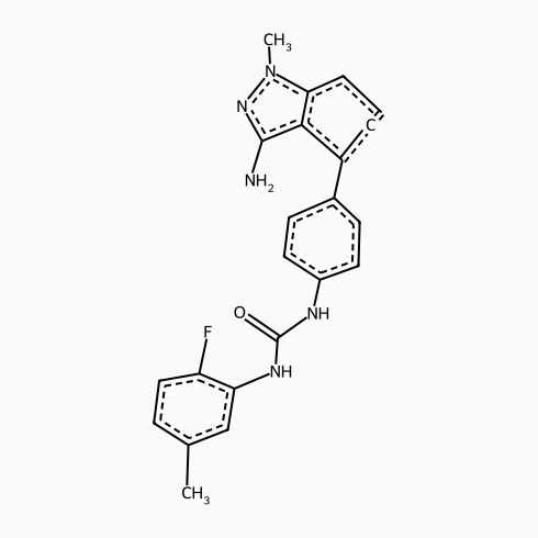 Cc1ccc(F)c(NC(=O)Nc2ccc(-c3cccc4c3c(N)nn4C)cc2)c1